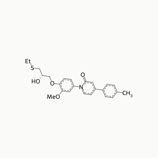 CCSC[C@@H](O)COc1ccc(-n2ccc(-c3ccc(C)cc3)cc2=O)cc1OC